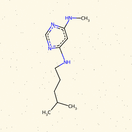 CNc1cc(NCCCC(C)C)ncn1